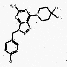 CC1(N)CCN(c2nc(N)nc3c2nnn3Cc2ccc(Cl)nc2)CC1